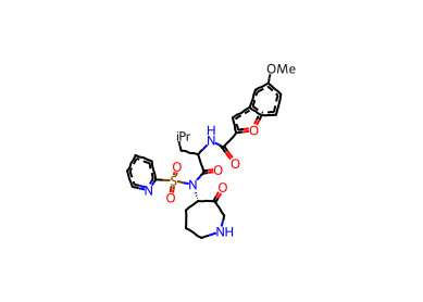 COc1ccc2oc(C(=O)NC(CC(C)C)C(=O)N([C@H]3CCCNCC3=O)S(=O)(=O)c3ccccn3)cc2c1